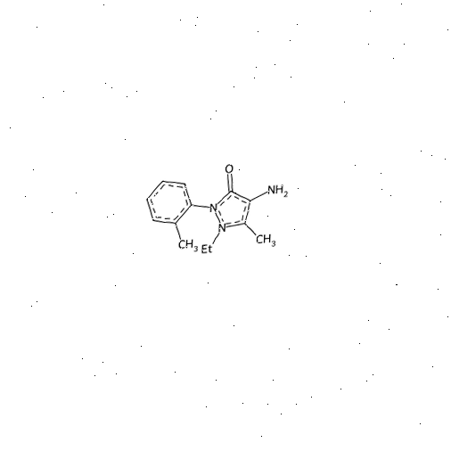 CCn1c(C)c(N)c(=O)n1-c1ccccc1C